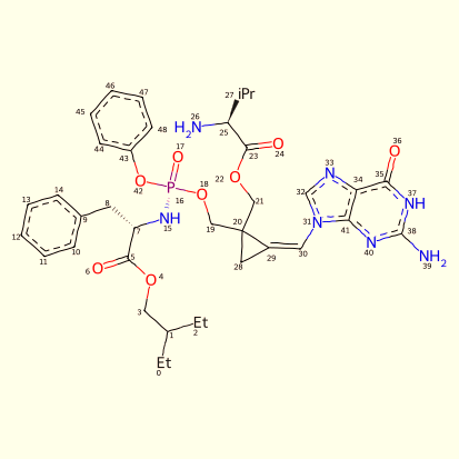 CCC(CC)COC(=O)[C@H](Cc1ccccc1)N[P@](=O)(OCC1(COC(=O)[C@@H](N)C(C)C)C/C1=C/n1cnc2c(=O)[nH]c(N)nc21)Oc1ccccc1